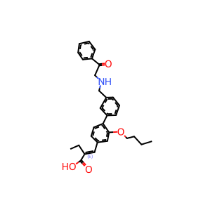 CCCCOc1cc(/C=C(\CC)C(=O)O)ccc1-c1cccc(CNCC(=O)c2ccccc2)c1